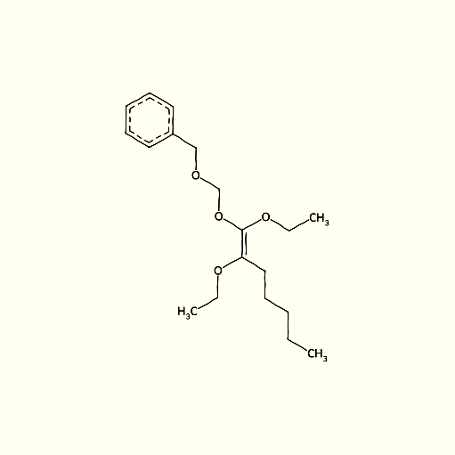 CCCCCC(OCC)=C(OCC)OCOCc1ccccc1